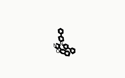 c1ccc(-c2ccc(N(c3ccc(-c4ccccc4)cc3)c3cncc4oc5cc6ccccc6cc5c34)cc2)cc1